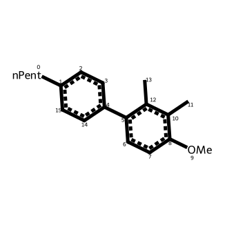 CCCCCc1ccc(-c2ccc(OC)c(C)c2C)cc1